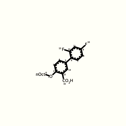 CCCCCCCCOc1ccc(-c2ccc(F)cc2F)cc1C(=O)O